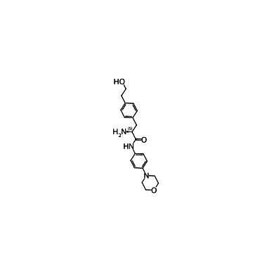 N[C@@H](Cc1ccc(CCO)cc1)C(=O)Nc1ccc(N2CCOCC2)cc1